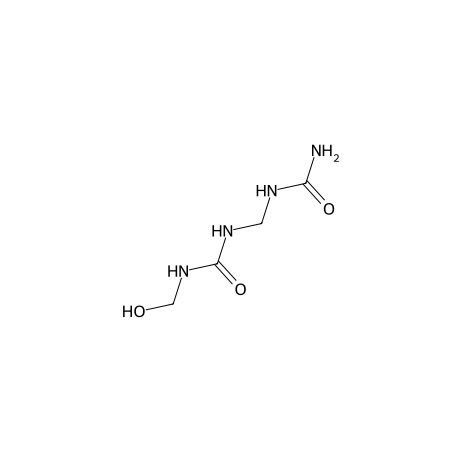 NC(=O)NCNC(=O)NCO